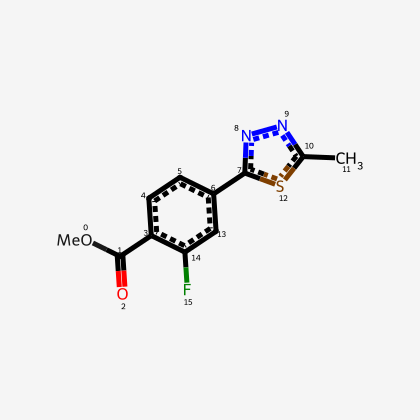 COC(=O)c1ccc(-c2nnc(C)s2)cc1F